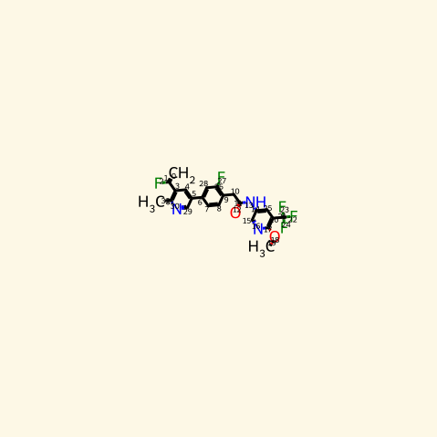 C=C(F)c1cc(-c2ccc(CC(=O)Nc3cnc(OC)c(C(F)(F)F)c3)c(F)c2)cnc1C